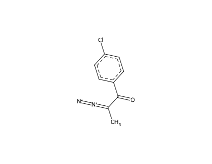 CC(=[N+]=[N-])C(=O)c1ccc(Cl)cc1